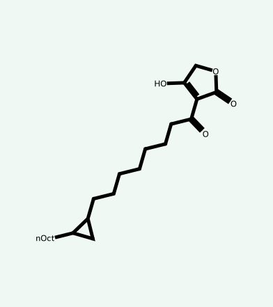 CCCCCCCCC1CC1CCCCCCCC(=O)C1=C(O)COC1=O